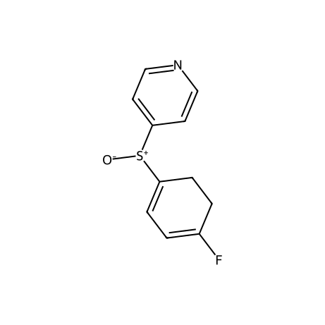 [O-][S+](C1=CC=C(F)CC1)c1ccncc1